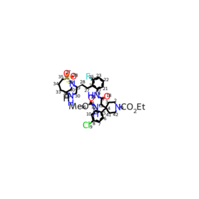 CCOC(=O)N1CCC(c2ccc(Cl)cc2)([C@H](NC(=O)OC)C(=O)Nc2cccc(F)c2CC[C@H]2CN[C@@H]3CCCS(=O)(=O)N2C3)CC1